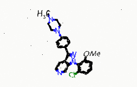 COc1cccc(Cl)c1-n1nc(-c2ccc(N3CCN(C)CC3)cc2)c2ccncc21